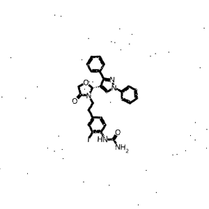 NC(=O)Nc1ccc(CCN2C(=O)CO[C@@H]2c2cn(-c3ccccc3)nc2-c2ccccc2)cc1I